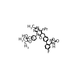 CCCc1c(Cc2ccc(-c3ccc(F)cc3-c3noc(=O)[nH]3)cc2)c(=O)n([C@H]2CC[C@H](OC(C)C(C)(C)O)CC2)c2nc(C)nn12